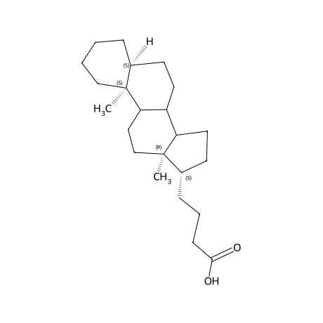 C[C@]12CCC3C(CC[C@@H]4CCCC[C@]34C)C1CC[C@@H]2CCCC(=O)O